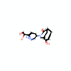 O=CC(=O)C1CCC(N2Cc3c(O)cccc3C2=O)CN1